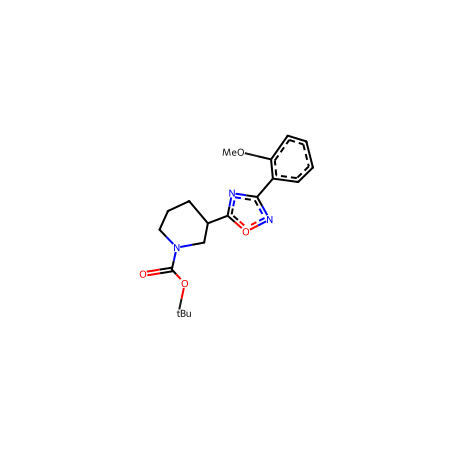 COc1ccccc1-c1noc(C2CCCN(C(=O)OC(C)(C)C)C2)n1